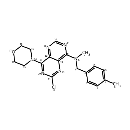 Cc1ccc(CN(C)c2ncnc3c(N4CCOCC4)nc(Cl)nc23)cc1